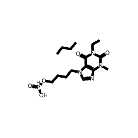 CCCC.CCn1c(=O)c2c(ncn2CCCCO[PH](=O)O)n(C)c1=O